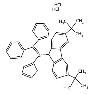 CC(C)(C)c1ccc2c(c1)-c1cc(C(C)(C)C)ccc1[CH]2[Zr]([C]1=CC=CC1)=[C](c1ccccc1)c1ccccc1.Cl.Cl